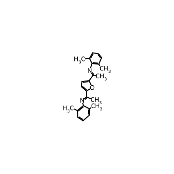 C/C(=N\c1c(C)cccc1C)c1ccc(/C(C)=N/c2c(C)cccc2C)o1